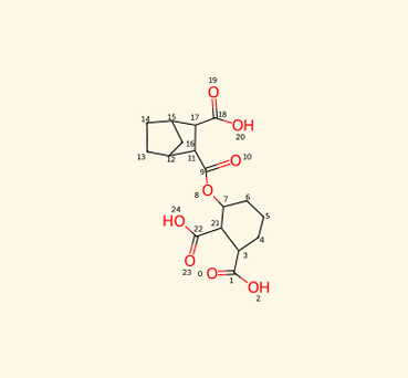 O=C(O)C1CCCC(OC(=O)C2C3CCC(C3)C2C(=O)O)C1C(=O)O